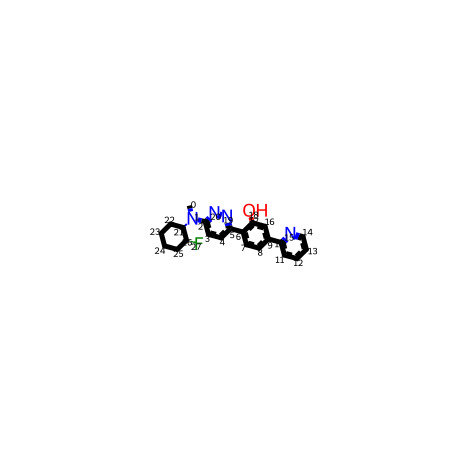 CN(c1ccc(-c2ccc(-c3ccccn3)cc2O)nn1)[C@H]1CCCC[C@H]1F